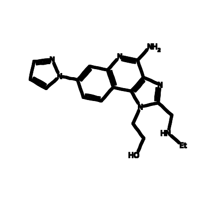 CCNCc1nc2c(N)nc3cc(-n4cccn4)ccc3c2n1CCO